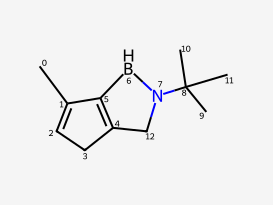 CC1=CCC2=C1BN(C(C)(C)C)C2